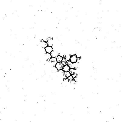 O=C(O)C1CCC(C(=O)N2CC[C@@]3(S(=O)(=O)c4ccc(F)cc4)c4cc(Br)c(C(F)(C(F)(F)F)C(F)(F)F)cc4CC[C@@H]23)CC1